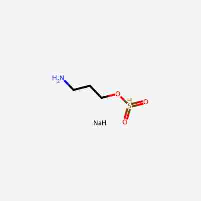 NCCCO[SH](=O)=O.[NaH]